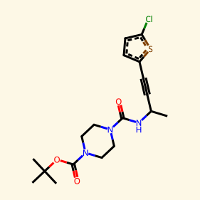 CC(C#Cc1ccc(Cl)s1)NC(=O)N1CCN(C(=O)OC(C)(C)C)CC1